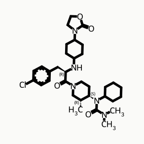 C[C@@H]1CN(C(=O)[C@@H](Cc2ccc(Cl)cc2)NC2CCC(N3CCOC3=O)CC2)CC[C@@H]1N(C(=O)N(C)C)C1CCCCC1